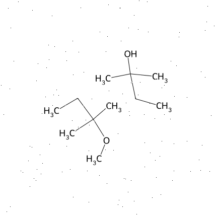 CCC(C)(C)O.CCC(C)(C)OC